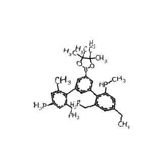 CCc1cc(CP)c(-c2cc(B3OC(C)(C)C(C)(C)O3)cc(-c3c(C)cc(P)cc3CP)c2)c(PC)c1